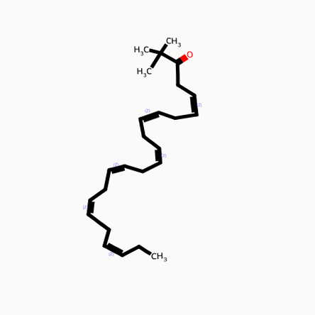 CC/C=C\C/C=C\C/C=C\C/C=C\C/C=C\C/C=C\CC(=O)C(C)(C)C